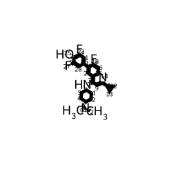 CN(C)[C@H]1CC[C@H](Nc2[c]c(C3CC3)nc3cc(F)c(-c4cc(F)c(O)c(F)c4)cc23)CC1